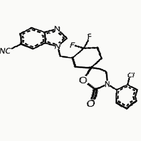 N#Cc1ccc2ncn(CC3CC4(CCC3(F)F)CN(c3ccccc3Cl)C(=O)O4)c2c1